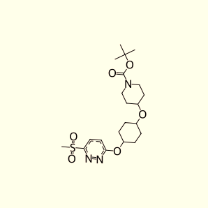 CC(C)(C)OC(=O)N1CCC(OC2CCC(Oc3ccc(S(C)(=O)=O)nn3)CC2)CC1